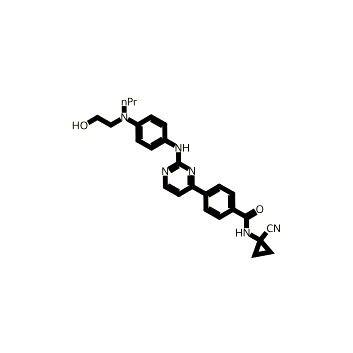 CCCN(CCO)c1ccc(Nc2nccc(-c3ccc(C(=O)NC4(C#N)CC4)cc3)n2)cc1